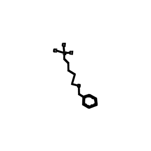 Cl[Si](Cl)(Cl)CCCCCOCc1ccccc1